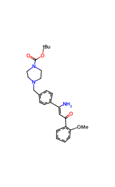 COc1ccccc1C(=O)/C=C(\N)c1ccc(CN2CCN(C(=O)OC(C)(C)C)CC2)cc1